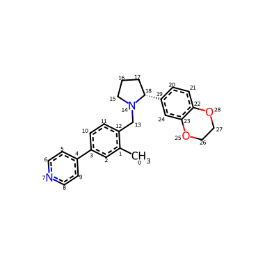 Cc1cc(-c2ccncc2)ccc1CN1CCC[C@@H]1c1ccc2c(c1)OCCO2